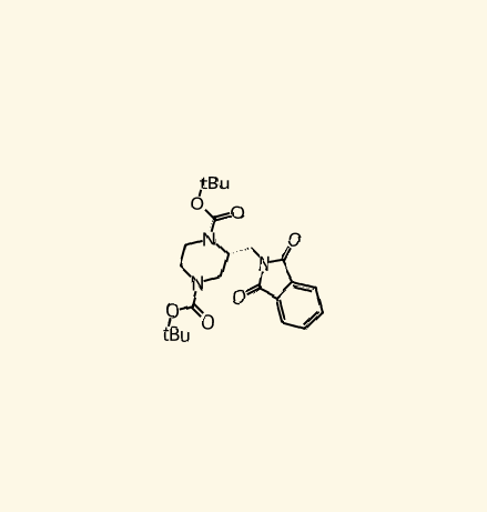 CC(C)(C)OC(=O)N1CCN(C(=O)OC(C)(C)C)[C@H](CN2C(=O)c3ccccc3C2=O)C1